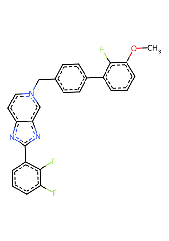 COc1cccc(-c2ccc(Cn3ccc4nc(-c5cccc(F)c5F)nc-4c3)cc2)c1F